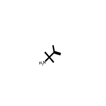 C=C(C)C(C)(C)N